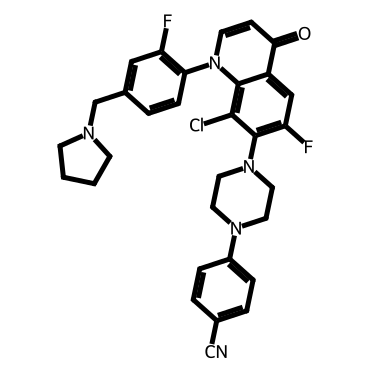 N#Cc1ccc(N2CCN(c3c(F)cc4c(=O)ccn(-c5ccc(CN6CCCC6)cc5F)c4c3Cl)CC2)cc1